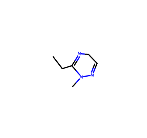 CCC1=NCC=NN1C